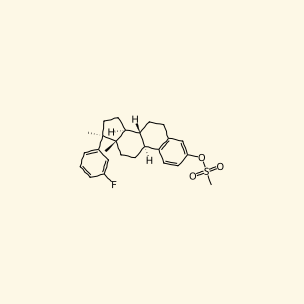 C[C@]12CC[C@@H]3c4ccc(OS(C)(=O)=O)cc4CC[C@H]3[C@@H]1CC[C@]2(C)c1cccc(F)c1